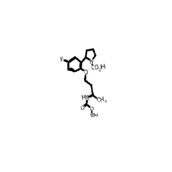 CC(CCOc1ccc(F)cc1C1CCCN1C(=O)O)NC(=O)OC(C)(C)C